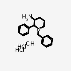 Cl.Cl.Cl.NC1CCCN(Cc2ccccc2)C1c1ccccc1